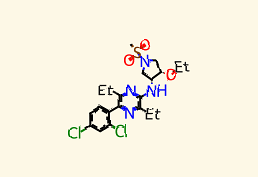 CCO[C@H]1CN(S(C)(=O)=O)C[C@H]1Nc1nc(CC)c(-c2ccc(Cl)cc2Cl)nc1CC